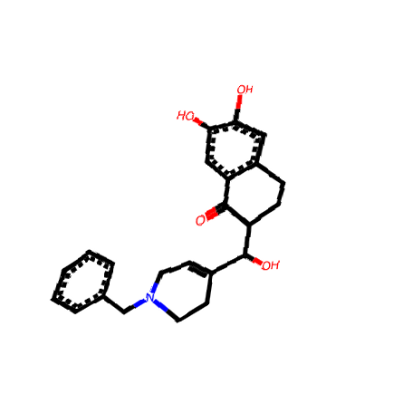 O=C1c2cc(O)c(O)cc2CCC1C(O)C1=CCN(Cc2ccccc2)CC1